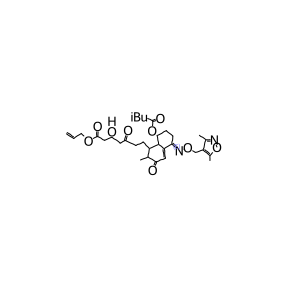 C=CCOC(=O)CC(O)CC(=O)CCC1C(C)C(=O)C=C2/C(=N/OCc3c(C)noc3C)CCC(OC(=O)C(C)CC)C21